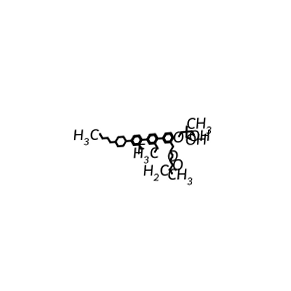 C=C(C)C(=O)COCCc1cc(-c2ccc(-c3ccc(C4CCC(CCCCC)CC4)cc3F)cc2CC)ccc1OCC(CC)(CO)CO